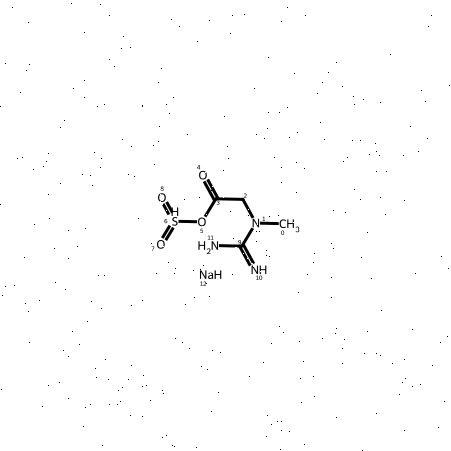 CN(CC(=O)O[SH](=O)=O)C(=N)N.[NaH]